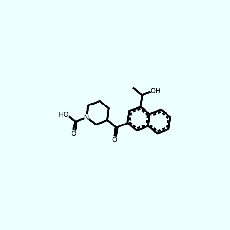 CC(O)c1cc(C(=O)C2CCCN(C(=O)O)C2)cc2ccccc12